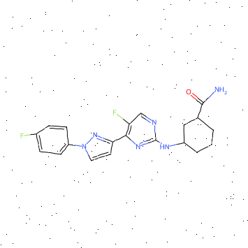 NC(=O)C1CCCC(Nc2ncc(F)c(-c3ccn(-c4ccc(F)cc4)n3)n2)C1